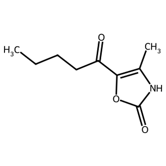 CCCCC(=O)c1oc(=O)[nH]c1C